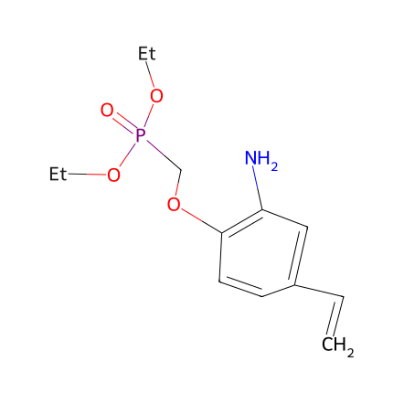 C=Cc1ccc(OCP(=O)(OCC)OCC)c(N)c1